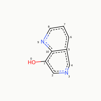 Oc1cncc2cccnc12